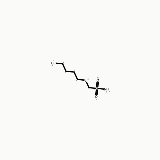 CCCCCSCS(N)(=O)=O